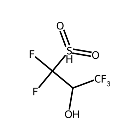 O=[SH](=O)C(F)(F)C(O)C(F)(F)F